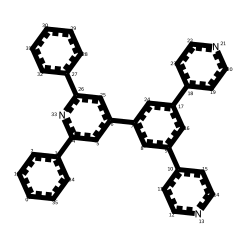 c1ccc(-c2cc(-c3cc(-c4ccncc4)cc(-c4ccncc4)c3)cc(-c3ccccc3)n2)cc1